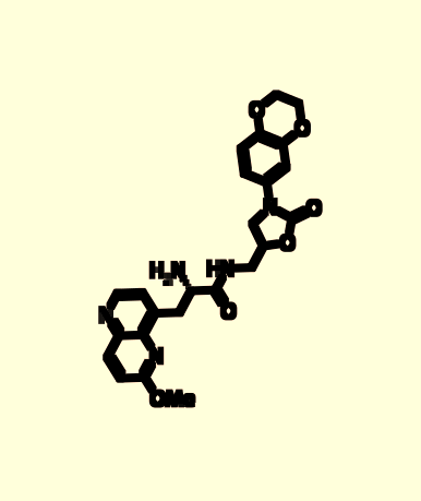 COc1ccc2nccc(C[C@H](N)C(=O)NCC3CN(c4ccc5c(c4)OCCO5)C(=O)O3)c2n1